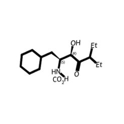 CCC(CC)C(=O)[C@H](O)[C@H](CC1CCCCC1)NC(=O)O